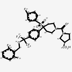 O=C(O)[C@@H]1CCN(C(=O)N2CCC(c3ccc(C(OCc4c(F)cccc4F)(C(F)(F)F)C(F)(F)F)cc3)(S(=O)(=O)c3ccc(F)cc3)CC2)C1